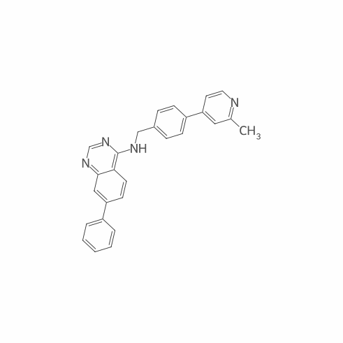 Cc1cc(-c2ccc(CNc3ncnc4cc(-c5ccccc5)ccc34)cc2)ccn1